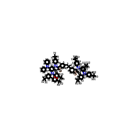 CC(C)(Cc1ccc2c3c(sc2c1)B1c2cc(C(C)(C)C)ccc2N(c2ccc(C(C)(C)C)cc2-c2ccc(C(C)(C)C)cc2)c2cc(N(c4ccccc4)c4ccccc4)cc(c21)N3c1ccc(C(C)(C)C)cc1)C1=CC2C3=C(SC2C=C1)B1c2cc(C(C)(C)C)ccc2N(c2ccc(C(C)(C)C)cc2)c2cc(C(C)(C)C)cc(c21)N3c1ccc(C(C)(C)C)cc1